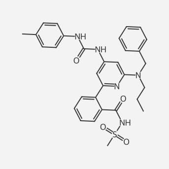 CCCN(Cc1ccccc1)c1cc(NC(=O)Nc2ccc(C)cc2)cc(-c2ccccc2C(=O)NS(C)(=O)=O)n1